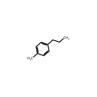 CCCc1[c]cc(C)cc1